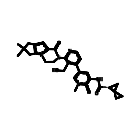 Cn1cc(-c2ccnc(N3CCn4c(cc5c4CC(C)(C)C5)C3=O)c2CO)cc(NC(=O)[C@@H]2CC23CC3)c1=O